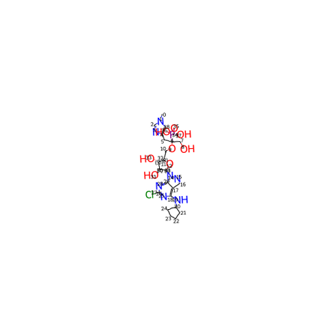 Cn1cnc(CC(CO)(OC[C@H]2O[C@@H](n3ncc4c(NC5CCCC5)nc(Cl)nc43)[C@H](O)[C@@H]2O)P(=O)(O)O)c1